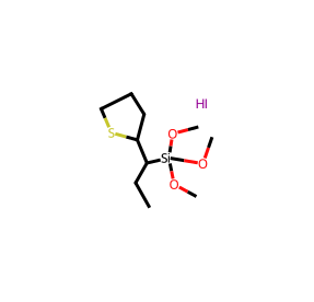 CCC(C1CCCS1)[Si](OC)(OC)OC.I